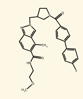 COCCNC(=O)c1ccc2nn(CC3CCN(C(=O)c4ccc(-c5ccc(F)cc5)cc4)C3)cc2c1C